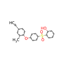 C#Cc1ccc(Oc2ccc(S(=O)(=O)c3ccccc3O)cc2)c(C)c1